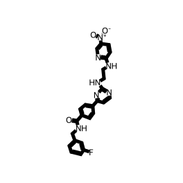 O=C(NCc1cccc(F)c1)c1ccc(-c2ccnc(NCCNc3ccc([N+](=O)[O-])cn3)n2)cc1